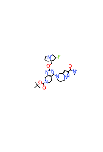 CN(C)C(=O)c1cc2n(n1)CCCN(c1nc(OC[C@@]34CCCN3C[C@H](F)C4)nc3c1CCN(C(=O)OC(C)(C)C)C3)C2